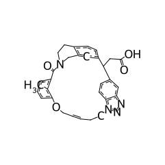 Cc1c2cccc1C(=O)N1CCc3ccc(cc3C1)C(CC(=O)O)c1ccc3c(c1)nnn3CC/C=C/CO2